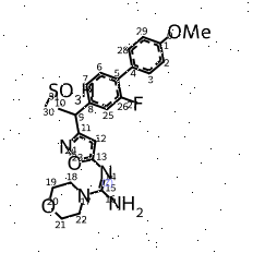 COc1ccc(-c2ccc(C(C)c3cc(/N=C(/N)N4CCOCC4)on3)cc2F)cc1.CS(=O)(=O)O